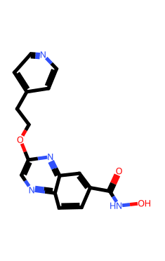 O=C(NO)c1ccc2ncc(OCCc3ccncc3)nc2c1